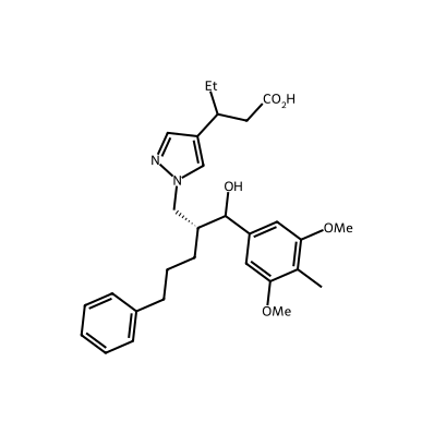 CCC(CC(=O)O)c1cnn(C[C@@H](CCCc2ccccc2)C(O)c2cc(OC)c(C)c(OC)c2)c1